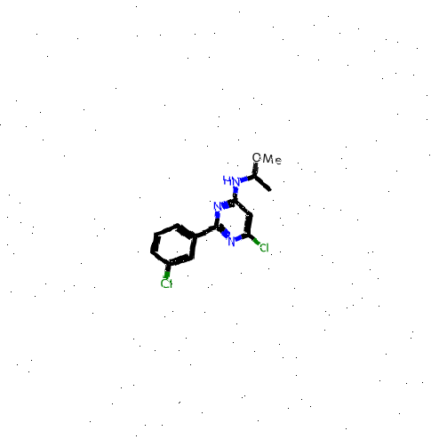 COC(C)Nc1cc(Cl)nc(-c2cccc(Cl)c2)n1